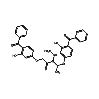 CC(Oc1ccc(C(=O)c2ccccc2)c(O)c1)N(NC(=O)O)C(=O)COc1ccc(C(=O)c2ccccc2)c(O)c1